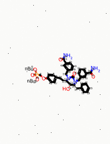 CCCCOP(=O)(COc1ccc(CC[C@@H]2[C@@H](O)[C@@H](Cc3ccccc3)N(Cc3cccc(C(N)=O)c3)C(=O)N2Cc2cccc(C(N)=O)c2)cc1)OCCCC